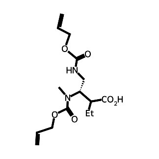 C=CCOC(=O)NC[C@H](C(CC)C(=O)O)N(C)C(=O)OCC=C